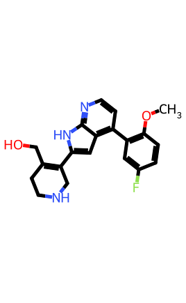 COc1ccc(F)cc1-c1ccnc2[nH]c(C3=C(CO)CCNC3)cc12